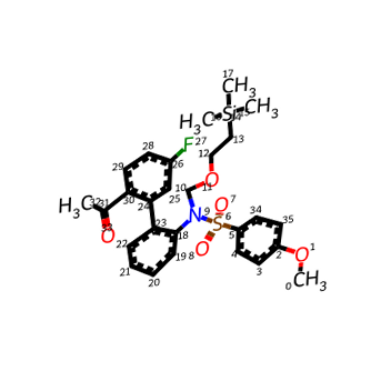 COc1ccc(S(=O)(=O)N(COCC[Si](C)(C)C)c2ccccc2-c2cc(F)ccc2C(C)=O)cc1